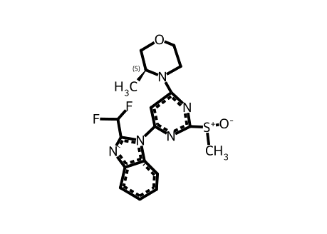 C[C@H]1COCCN1c1cc(-n2c(C(F)F)nc3ccccc32)nc([S+](C)[O-])n1